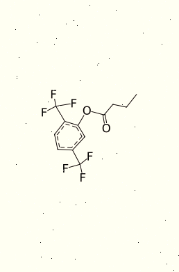 CCCC(=O)Oc1cc(C(F)(F)F)ccc1C(F)(F)F